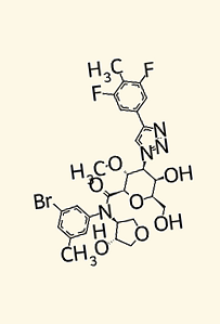 CO[C@@H]1[C@@H](n2cc(-c3cc(F)c(C)c(F)c3)nn2)[C@@H](O)[C@@H](CO)O[C@H]1C(=O)N(c1cc(C)cc(Br)c1)[C@H]1COC[C@@H]1O